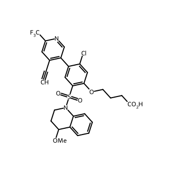 C#Cc1cc(C(F)(F)F)ncc1-c1cc(S(=O)(=O)N2CCC(OC)c3ccccc32)c(OCCCC(=O)O)cc1Cl